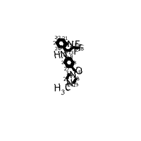 CN1CCN(C(=O)c2ccc(Nc3cc(C(F)(F)F)nc4ccccc34)cc2)CC1